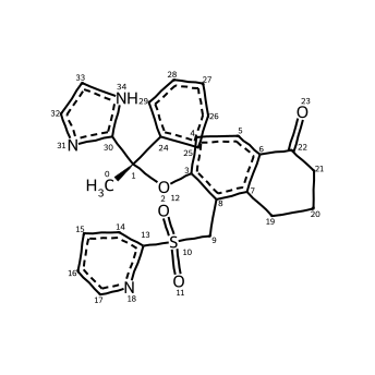 C[C@](Oc1ccc2c(c1CS(=O)(=O)c1ccccn1)CCCC2=O)(c1ccccc1)c1ncc[nH]1